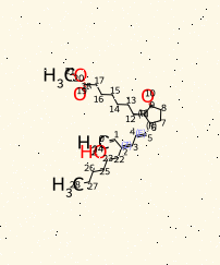 C=C/C(=C\C=C\[C@H]1CCC(=O)[C@@H]1CCCCCCC(=O)OC)CC(O)CCCC